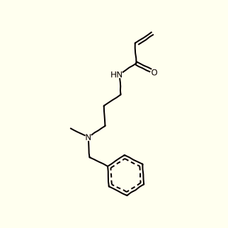 C=CC(=O)NCCCN(C)Cc1ccccc1